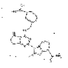 Cc1cc2c(C(N)=O)cccn2c1-c1nc2c(c(NCc3cccc(B(O)O)c3)n1)NCC2